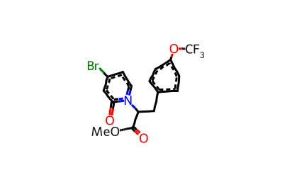 COC(=O)C(Cc1ccc(OC(F)(F)F)cc1)n1ccc(Br)cc1=O